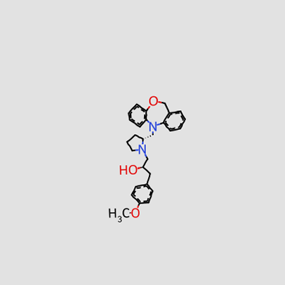 COc1ccc(C[C@@H](O)CN2CCC[C@@H]2CN2c3ccccc3COc3ccccc32)cc1